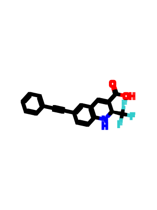 O=C(O)C1=Cc2cc(C#Cc3ccccc3)ccc2N[C@@H]1C(F)(F)F